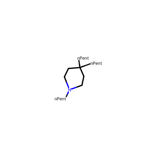 CCCCCN1CCC(CCCCC)(CCCCC)CC1